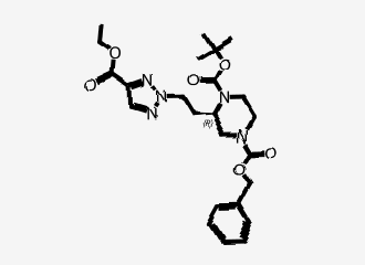 CCOC(=O)c1cnn(CC[C@@H]2CN(C(=O)OCc3ccccc3)CCN2C(=O)OC(C)(C)C)n1